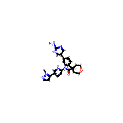 Cn1nccc1-c1ccc(NC(=O)C2(c3ccc(-c4cnc(N)nc4)cc3)CCOCC2)nc1